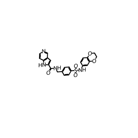 O=C(NCc1ccc(S(=O)(=O)Nc2ccc3c(c2)OCCO3)cc1)c1cc2cnccc2[nH]1